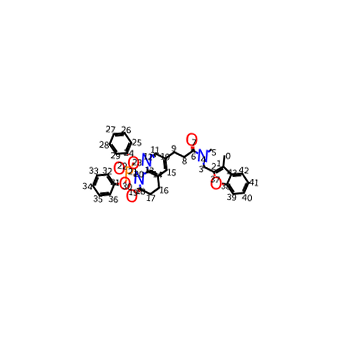 Cc1c(CN(C)C(=O)CCc2cnc3c(c2)CCC(=O)N3P(=O)(Oc2ccccc2)Oc2ccccc2)oc2ccccc12